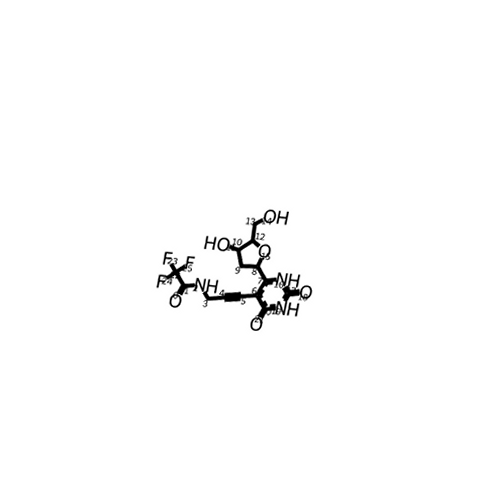 O=C(NCC#Cc1c(C2CC(O)C(CO)O2)[nH]c(=O)[nH]c1=O)C(F)(F)F